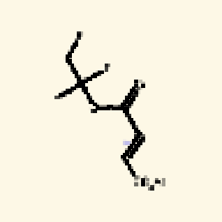 CCOC(=O)/C=C/C(=O)OC(F)(F)CF